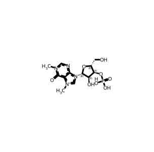 Cn1cnc2c(c1=O)[n+](C)cn2[C@@H]1O[C@H](CO)[C@@H](OP(=O)(O)O)[C@H]1O